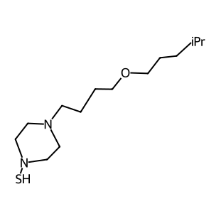 CC(C)CCCOCCCCN1CCN(S)CC1